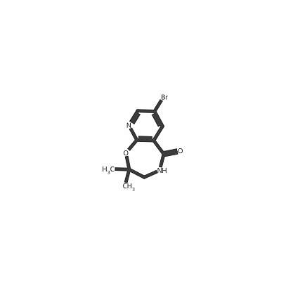 CC1(C)CNC(=O)c2cc(Br)cnc2O1